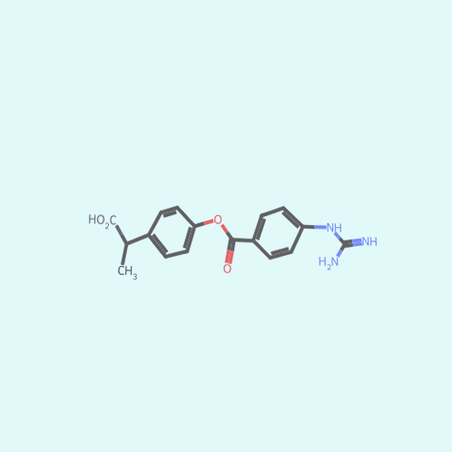 CC(C(=O)O)c1ccc(OC(=O)c2ccc(NC(=N)N)cc2)cc1